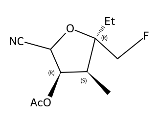 CC[C@@]1(CF)OC(C#N)[C@H](OC(C)=O)[C@@H]1C